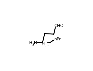 CCCC.NCCCC=O